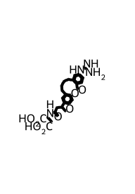 N=C(N)Nc1ccc2c(c1)CCCCc1cc3c(cc1OC2=O)OCC3CC(=O)NC(CC(=O)O)C(=O)O